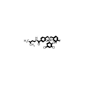 CC(C)CCNC(=O)c1ccc(CN(Cc2ccc(F)cc2)S(=O)(=O)c2cc(Cl)cc(Cl)c2O)cc1